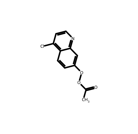 CC(=O)OOc1ccc2c(Cl)ccnc2c1